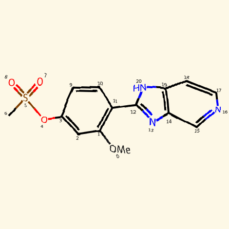 COc1cc(OS(C)(=O)=O)ccc1-c1nc2cnccc2[nH]1